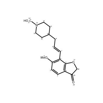 COc1ccc2c(c1/C=C/CC1CCN(C(=O)O)CC1)OCC2=O